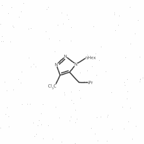 CCCCCCn1nnc(C(Cl)(Cl)Cl)c1CC(C)C